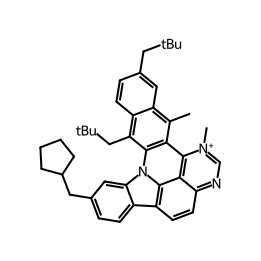 Cc1c2cc(CC(C)(C)C)ccc2c(CC(C)(C)C)c2c1c1c3c(ccc4c5ccc(CC6CCCC6)cc5n2c43)nc[n+]1C